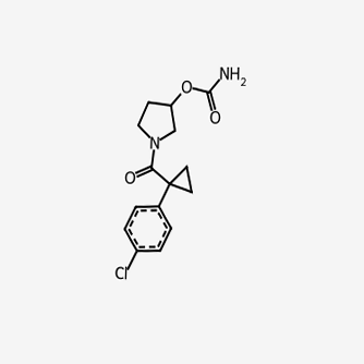 NC(=O)OC1CCN(C(=O)C2(c3ccc(Cl)cc3)CC2)C1